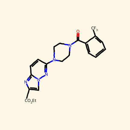 CCOC(=O)c1cn2nc(N3CCN(C(=O)c4ccccc4C(F)(F)F)CC3)ccc2n1